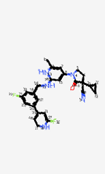 CC1=CC(N2CCC(C#N)(C3CC3)C2=O)=CC(NCc2cc(F)cc(C3=CCNC(F)=C3)c2)N1